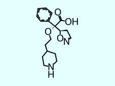 O=C(O)[C@](OCCC1CCNCC1)(c1ccccc1)[C@H]1CC=NO1